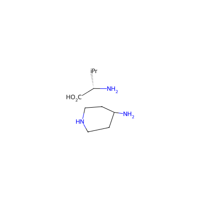 CC(C)[C@H](N)C(=O)O.NC1CCNCC1